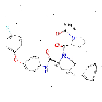 CC(=O)N1CCCC1C(=O)N1C[C@H](Cc2ccccc2)C[C@H]1C(=O)Nc1ccc(Oc2ccc(F)cc2)cc1